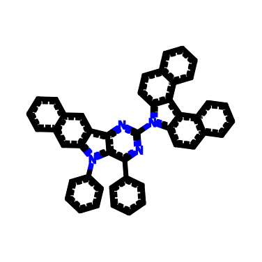 c1ccc(-c2nc(-n3c4ccc5ccccc5c4c4c5ccccc5ccc43)nc3c4cc5ccccc5cc4n(-c4ccccc4)c23)cc1